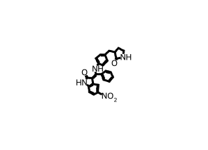 O=C1Nc2ccc([N+](=O)[O-])cc2C1=C(Nc1ccc(CC2CCNC2=O)cc1)c1ccccc1